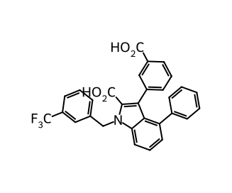 O=C(O)c1cccc(-c2c(C(=O)O)n(Cc3cccc(C(F)(F)F)c3)c3cccc(-c4ccccc4)c23)c1